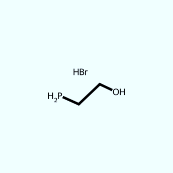 Br.OCCP